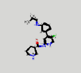 CC(C)CNc1cccc(-c2cc(NC(=O)[C@@H]3CCCNC3)ncc2Cl)c1